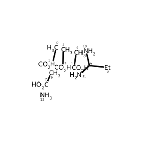 CC(=O)O.CC(=O)O.CC(=O)O.CC(=O)O.CCC(N)N.N